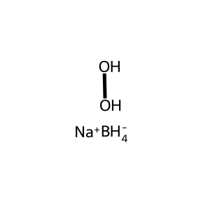 OO.[BH4-].[Na+]